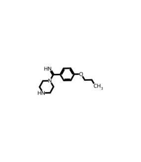 CCCOc1ccc(C(=N)N2CCNCC2)cc1